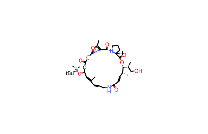 CC1=C\C(O[Si](C)(C)C(C)(C)C)CC(=O)Cc2nc(c(C)o2)C(=O)N2CCC[C@@H]2C(=O)O[C@H]([C@@H](C)CO)[C@H](C)/C=C/C(=O)NC\C=C\1